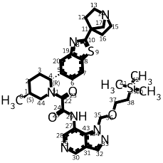 C[C@H]1CC[C@H](c2ccc3sc(C45CCN(CC4)C5)nc3c2)N(C(=O)C(=O)Nc2cncc3cnn(COCC[Si](C)(C)C)c23)C1